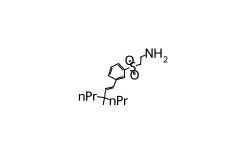 CCCC(C)(C=Cc1cccc(S(=O)(=O)CCN)c1)CCC